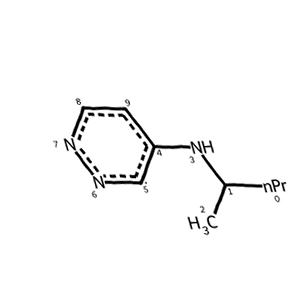 CCCC(C)Nc1[c]nncc1